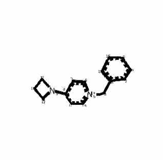 c1ccc(C[n+]2ccc(N3CCC3)cc2)cc1